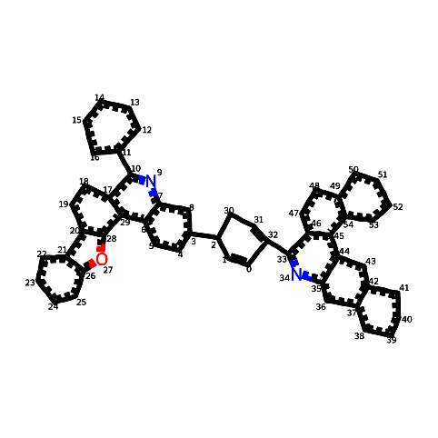 C1=CC(c2ccc3c(c2)nc(-c2ccccc2)c2ccc4c5ccccc5oc4c23)CC=C1c1nc2cc3ccccc3cc2c2c1ccc1ccccc12